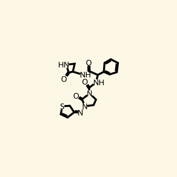 O=C1NCC1NC(=O)C(NC(=O)N1CCN(N=C2C=CSC2)C1=O)c1ccccc1